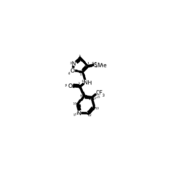 CSc1cnoc1NC(=O)c1cnccc1C(F)(F)F